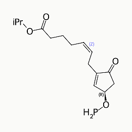 CC(C)OC(=O)CCC/C=C\CC1=C[C@H](OP)CC1=O